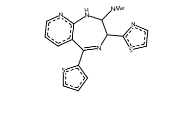 CNC1Nc2ncccc2C(c2cccs2)=NC1c1nccs1